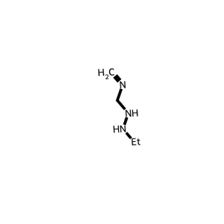 C=NCNNCC